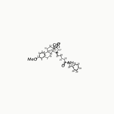 COc1ccc2c(c1)CCC1C2CC[C@]2(C)C(=O)C[C@@H](CCCCC(=O)NCc3ccccc3)C12